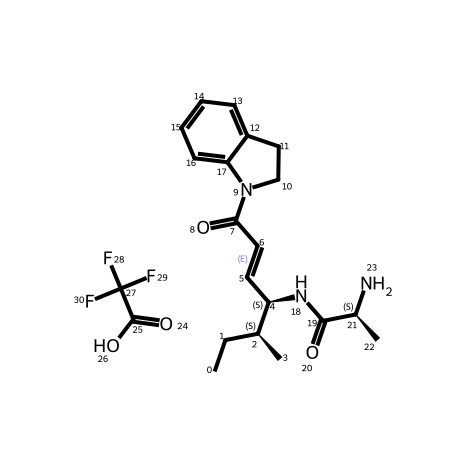 CC[C@H](C)[C@@H](/C=C/C(=O)N1CCc2ccccc21)NC(=O)[C@H](C)N.O=C(O)C(F)(F)F